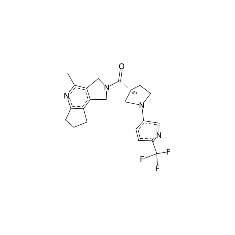 Cc1nc2c(c3c1CN(C(=O)[C@@H]1CCN(c4ccc(C(F)(F)F)nc4)C1)C3)CCC2